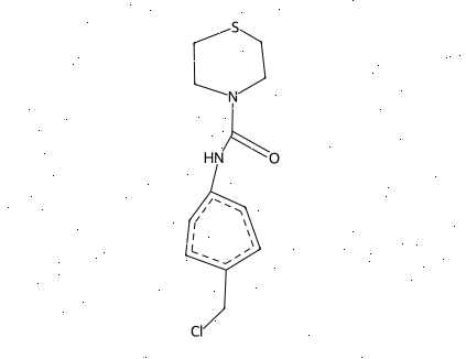 O=C(Nc1ccc(CCl)cc1)N1CCSCC1